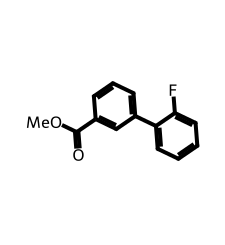 COC(=O)c1cccc(-c2ccccc2F)c1